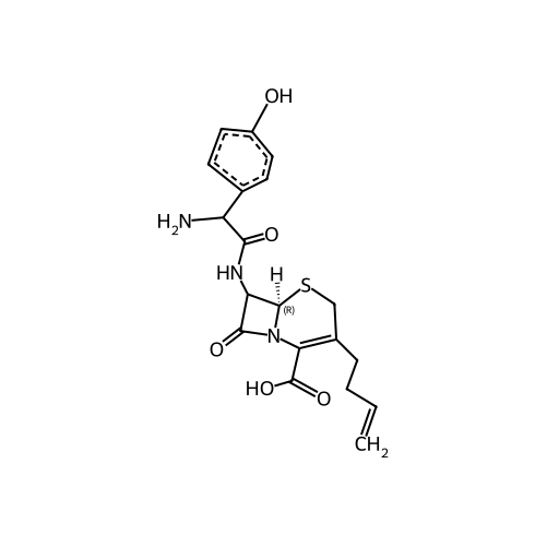 C=CCCC1=C(C(=O)O)N2C(=O)C(NC(=O)C(N)c3ccc(O)cc3)[C@H]2SC1